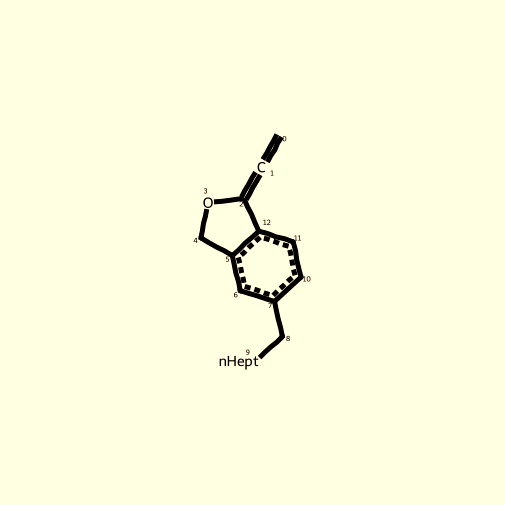 C=C=C1OCc2cc(CCCCCCCC)ccc21